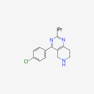 CC(C)c1nc2c(c(-c3ccc(Cl)cc3)n1)CNCC2